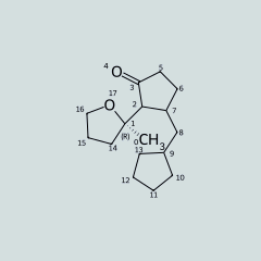 C[C@]1(C2C(=O)CCC2CC2CCCC2)CCCO1